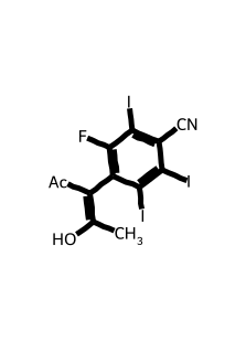 CC(=O)/C(=C(/C)O)c1c(F)c(I)c(C#N)c(I)c1I